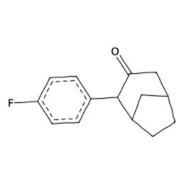 O=C1CC2CCC(C2)C1c1ccc(F)cc1